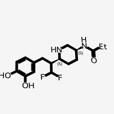 CCC(=O)N[C@H]1CC[C@@H](C(Cc2ccc(O)c(O)c2)C(F)F)NC1